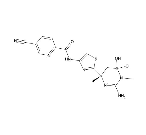 CN1C(N)=N[C@](C)(c2nc(NC(=O)c3ccc(C#N)cn3)cs2)CS1(O)O